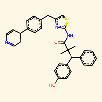 CC(C)(C(=O)Nc1nc(Cc2ccc(C3C=CN=CC3)cc2)cs1)[C@@H](c1ccccc1)c1ccc(O)cc1